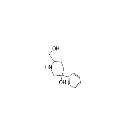 OCC1CCC(O)(c2ccccc2)CN1